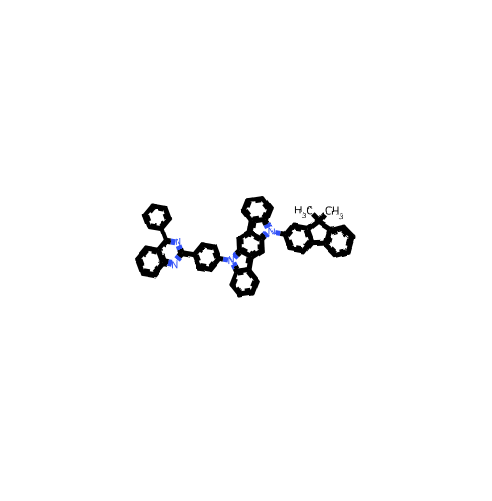 CC1(C)c2ccccc2-c2ccc(-n3c4ccccc4c4cc5c(cc43)c3ccccc3n5-c3ccc(-c4nc(-c5ccccc5)c5ccccc5n4)cc3)cc21